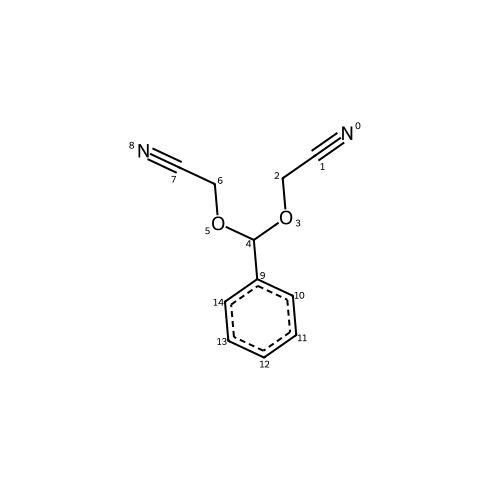 N#CCOC(OCC#N)c1ccccc1